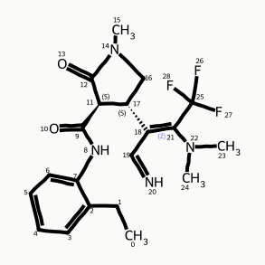 CCc1ccccc1NC(=O)[C@H]1C(=O)N(C)C[C@@H]1/C(C=N)=C(/N(C)C)C(F)(F)F